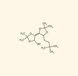 CC(C)(C)CCC1OC(C)(C)O/C1=C1\OC(C)(C)OC1O